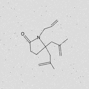 C=CCN1C(=O)CCC1(CC(=C)C)CC(=C)C